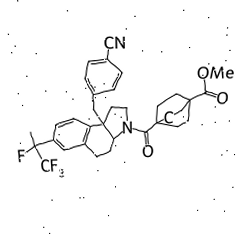 COC(=O)C12CCC(C(=O)N3CCC4(Cc5ccc(C#N)cc5)c5ccc(C(C)(F)C(F)(F)F)cc5CCC34)(CC1)CC2